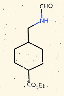 CCOC(=O)C1CCC(CNC=O)CC1